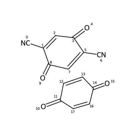 N#CC1=CC(=O)C(C#N)=CC1=O.O=C1C=CC(=O)C=C1